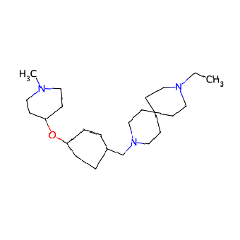 CCN1CCC2(CC1)CCN(CC1CCC(OC3CCN(C)CC3)CC1)CC2